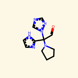 O=CC(c1ncc[nH]1)(N1CCCC1)n1cncn1